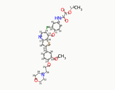 CCOC(=O)C(=O)Nc1ccc(Oc2ccnc3cc(-c4ccc(OCCN5CCOCC5)c(OC)c4)sc23)c(F)c1